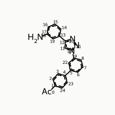 CC(=O)c1ccc(-c2cccc(-n3cc(-c4cccc(N)c4)nn3)c2)cc1